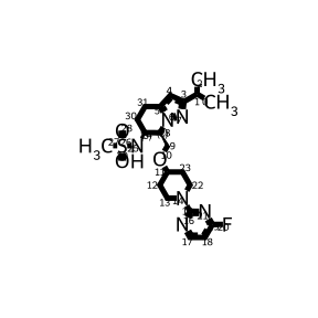 CC(C)c1cc2n(n1)[C@@H](COC1CCN(c3nccc(F)n3)CC1)[C@@H](NS(C)(=O)=O)CC2